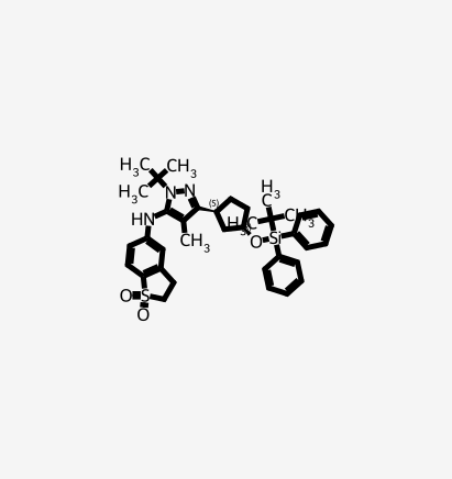 Cc1c([C@H]2CC[C@@H](O[Si](c3ccccc3)(c3ccccc3)C(C)(C)C)C2)nn(C(C)(C)C)c1Nc1ccc2c(c1)CCS2(=O)=O